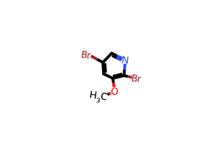 COc1cc(Br)cnc1Br